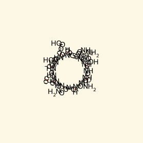 Cc1cccc(CC2NC(=O)[C@H](CC(=O)O)NC(=O)C(Cc3ccc(OCC(=O)O)cc3)NC(=O)C(CC3CCCCC3)NC(=O)CSC[C@@H](C(=O)NC(CCN)C(N)=O)NC(=O)[C@H](CCC(=O)O)NC(=O)C(C(C)C)NC(=O)C(CC3CCCCC3)NC(=O)[C@H](CCN)NC(=O)[C@@H](CC(C)C)NC(=O)[C@H](C)N(C)C(=O)C(CCC(N)=O)NC(=O)[C@H](Cc3ccc(-c4ccccc4)cc3)NC(=O)[C@H](CCc3ccccc3)NC2=O)c1